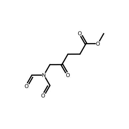 COC(=O)CCC(=O)CN(C=O)C=O